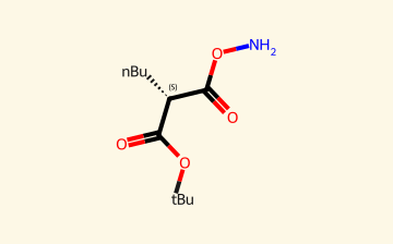 CCCC[C@H](C(=O)ON)C(=O)OC(C)(C)C